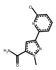 Cn1nc(-c2cccc(Cl)n2)cc1C(N)=O